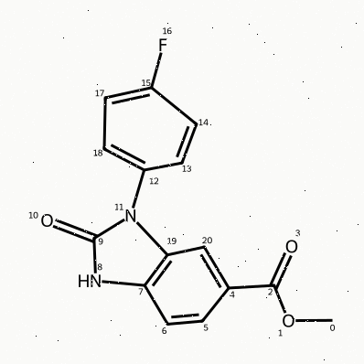 COC(=O)c1ccc2[nH]c(=O)n(-c3ccc(F)cc3)c2c1